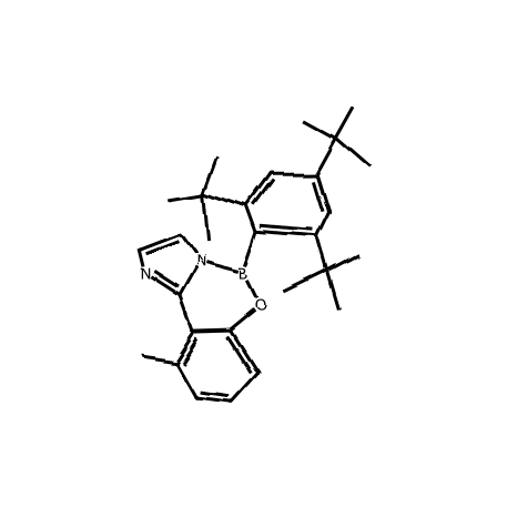 Cc1cccc2c1-c1nccn1B(c1c(C(C)(C)C)cc(C(C)(C)C)cc1C(C)(C)C)O2